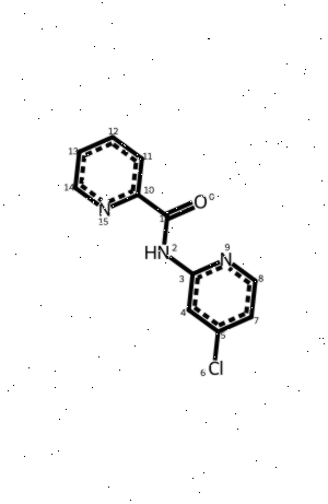 O=C(Nc1cc(Cl)ccn1)c1ccccn1